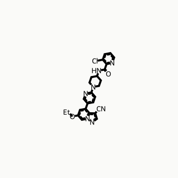 CCOc1cc(-c2ccc(N3CCC(NC(=O)c4ncccc4Cl)CC3)nc2)c2c(C#N)cnn2c1